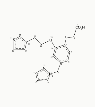 O=C(O)CCc1ccc(Cn2cccn2)cc1OCCc1ccsc1